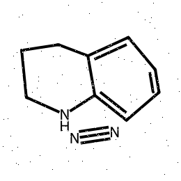 N#N.c1ccc2c(c1)CCCN2